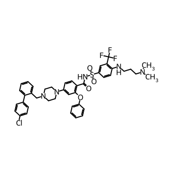 CN(C)CCCNc1ccc(S(=O)(=O)NC(=O)c2ccc(N3CCN(Cc4ccccc4-c4ccc(Cl)cc4)CC3)cc2Oc2ccccc2)cc1C(F)(F)F